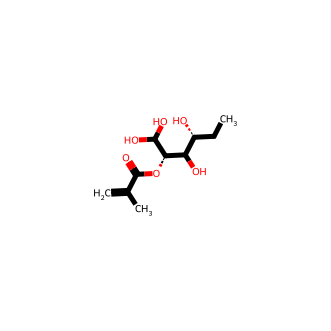 C=C(C)C(=O)O[C@H](C(O)O)C(O)[C@H](O)CC